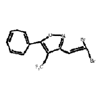 FC(F)(F)c1c(C=C(Br)Br)noc1-c1ccccc1